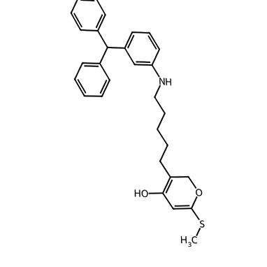 CSC1=CC(O)=C(CCCCCNc2cccc(C(c3ccccc3)c3ccccc3)c2)CO1